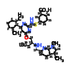 Cc1cccc(C)c1-c1cc(OCC(CC(C)(C)C)NCc2ccc3c(C)cn(C)c3n2)nc(NSc2cccc(C(=O)O)c2)n1